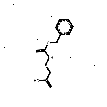 C=C(O)CCNC(=C)OCc1ccccc1